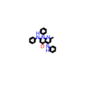 Cc1cc(Nc2ccccc2)c2c(=O)cc(Nc3ccccc3)n(-c3ccccc3)c2n1